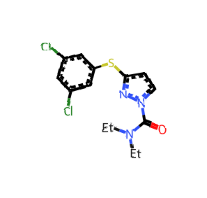 CCN(CC)C(=O)n1ccc(Sc2cc(Cl)cc(Cl)c2)n1